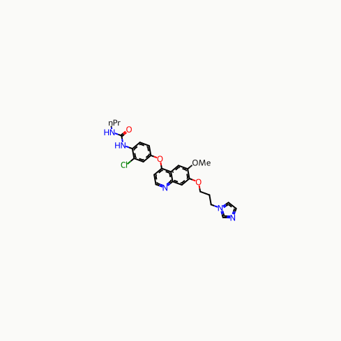 CCCNC(=O)Nc1ccc(Oc2ccnc3cc(OCCCn4ccnc4)c(OC)cc23)cc1Cl